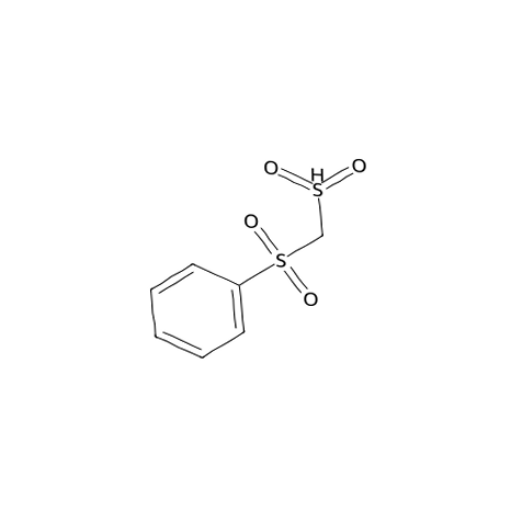 O=[SH](=O)CS(=O)(=O)c1ccccc1